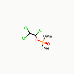 COP(=O)(OC)OC(Cl)C(Cl)Cl